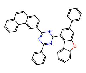 c1ccc(C2=NC(c3cc(-c4ccccc4)cc4oc5ccccc5c34)NC(c3ccc4ccc5ccccc5c4c3)=N2)cc1